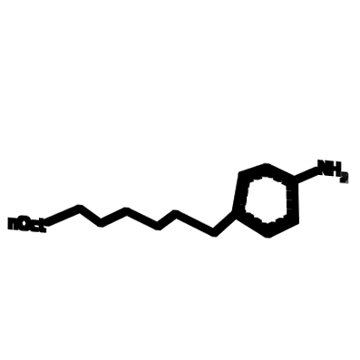 CCCCCCCCCCCCCCc1ccc(N)cc1